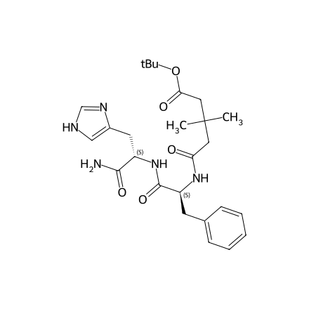 CC(C)(CC(=O)N[C@@H](Cc1ccccc1)C(=O)N[C@@H](Cc1c[nH]cn1)C(N)=O)CC(=O)OC(C)(C)C